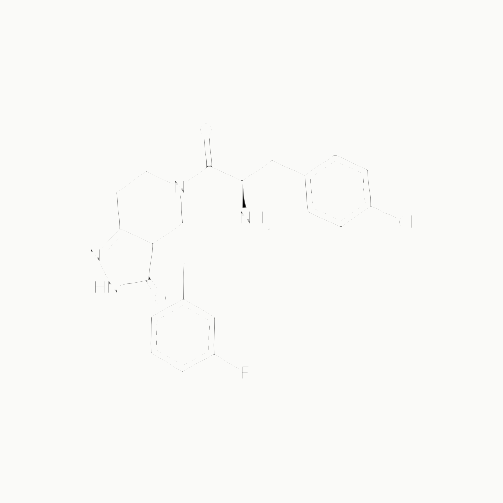 N[C@H](Cc1ccc(Cl)cc1)C(=O)N1CCC2=NNC(=O)[C@]2(Cc2cccc(F)c2)C1